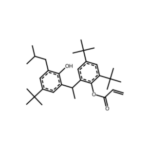 C=CC(=O)Oc1c(C(C)c2cc(C(C)(C)C)cc(CC(C)C)c2O)cc(C(C)(C)C)cc1C(C)(C)C